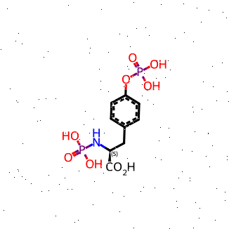 O=C(O)[C@H](Cc1ccc(OP(=O)(O)O)cc1)NP(=O)(O)O